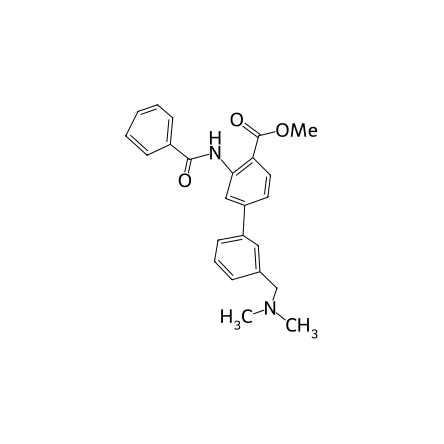 COC(=O)c1ccc(-c2cccc(CN(C)C)c2)cc1NC(=O)c1ccccc1